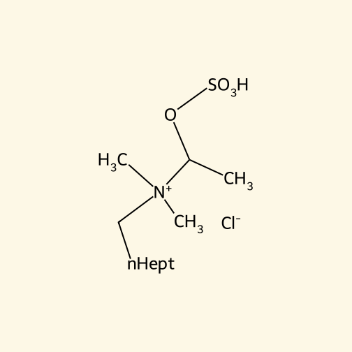 CCCCCCCC[N+](C)(C)C(C)OS(=O)(=O)O.[Cl-]